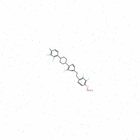 CCCCCCOc1ccc(CCc2ccc(C3CCC(c4ccc(C)c(F)c4F)CC3)c(F)c2)c(F)c1F